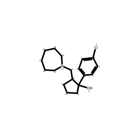 OC1(c2ccc(Cl)cc2)CCCC1CN1CCCCCC1